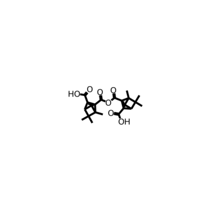 CC12CC(C(C(=O)O)=C1C(=O)OC(=O)C1=C(C(=O)O)C3CC1(C)C3(C)C)C2(C)C